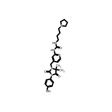 CC(C)(C)c1ccc(N2C(=O)N(Cc3ccnc(NC(=O)NCCCCN4CCCC4)c3)C(C)(C)C2=O)cc1